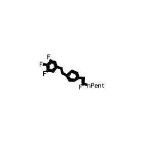 CCCCCC(F)=Cc1ccc(CCc2cc(F)c(F)c(F)c2)cc1